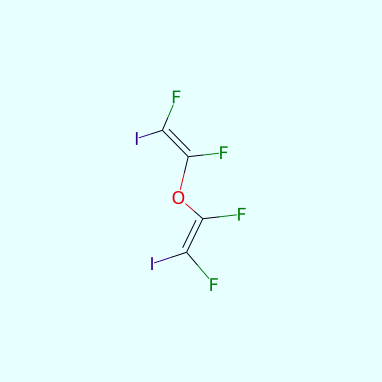 FC(I)=C(F)OC(F)=C(F)I